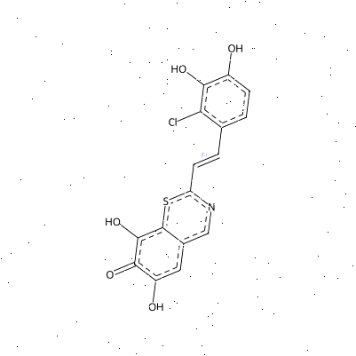 O=c1c(O)cc2cnc(/C=C/c3ccc(O)c(O)c3Cl)sc-2c1O